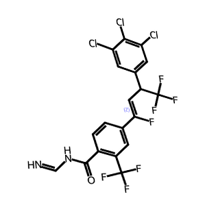 N=CNC(=O)c1ccc(/C(F)=C/C(c2cc(Cl)c(Cl)c(Cl)c2)C(F)(F)F)cc1C(F)(F)F